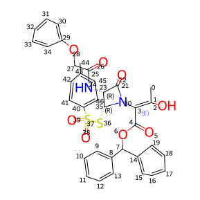 C/C(O)=C(/C(=O)OC(c1ccccc1)c1ccccc1)N1C(=O)[C@@H](NC(=O)COc2ccccc2)[C@H]1SS(=O)(=O)c1ccc(C)cc1